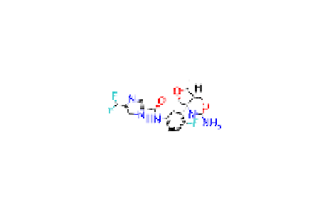 C[C@H]1OC[C@]2(c3cc(NC(=O)c4cnc(C(F)F)cn4)ccc3F)N=C(N)OC[C@H]12